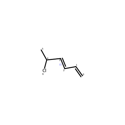 C=C/C=C/C(C)Cl